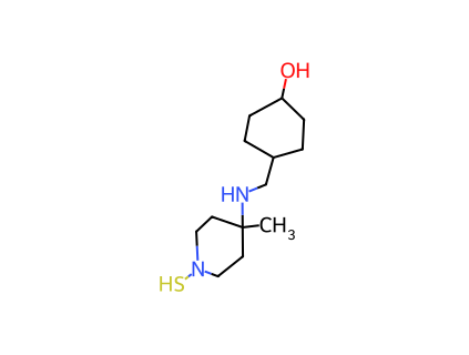 CC1(NCC2CCC(O)CC2)CCN(S)CC1